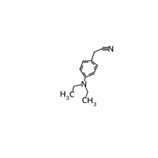 CCN(CC)c1ccc(CC#N)cc1